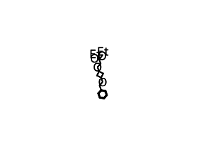 CCOC(COC1CC(OCc2ccccc2)C1)OCC